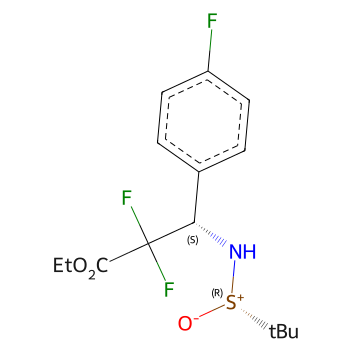 CCOC(=O)C(F)(F)[C@@H](N[S@@+]([O-])C(C)(C)C)c1ccc(F)cc1